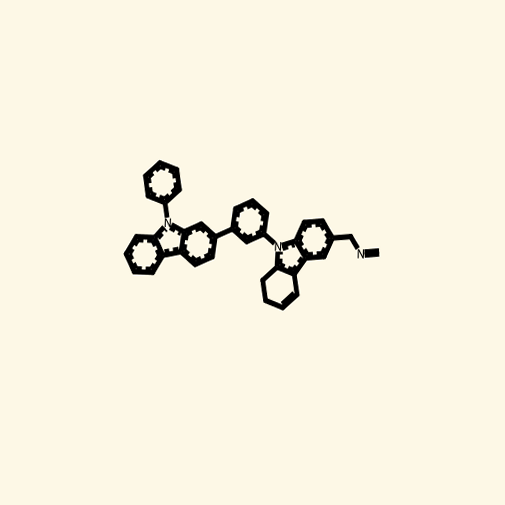 C=NCc1ccc2c(c1)c1c(n2-c2cccc(-c3ccc4c5ccccc5n(-c5ccccc5)c4c3)c2)CCC=C1